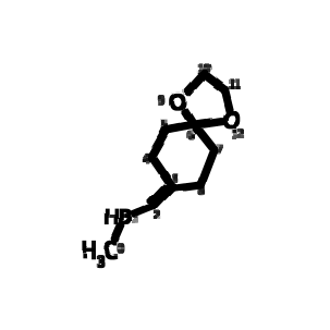 CBC=C1CCC2(CC1)OCCO2